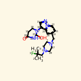 CC(C)(F)CN1CCN(Cc2ccn3ncc(N4CCC(=O)NC4O)c3c2)CC1